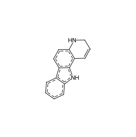 C1=Cc2c(ccc3c2[nH]c2ccccc23)NC1